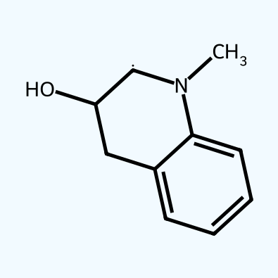 CN1[CH]C(O)Cc2ccccc21